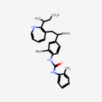 COc1cc(C(CC2=C(C(C)CC(=O)O)NC=CC=C2)NC(C)=O)ccc1NC(=O)Nc1ccccc1C